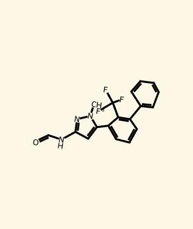 Cn1nc(NC=O)cc1-c1cccc(-c2ccccc2)c1C(F)(F)F